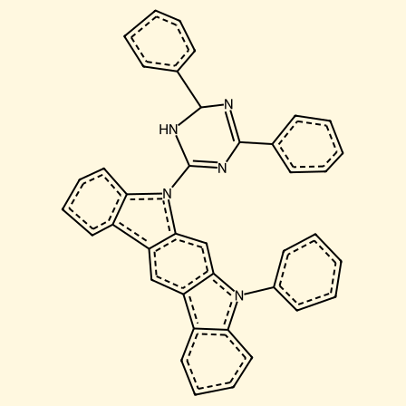 c1ccc(C2=NC(c3ccccc3)NC(n3c4ccccc4c4cc5c6ccccc6n(-c6ccccc6)c5cc43)=N2)cc1